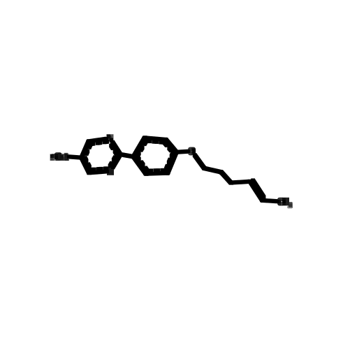 CC=CCCCOc1ccc(-c2ncc(CCCCCCCC)cn2)cc1